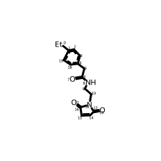 CCc1ccc(CC(=O)NCCN2C(=O)C=CC2=O)cc1